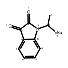 CCCCC(C)N1C(=O)C(=O)c2ccccc21